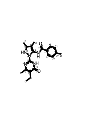 CCc1c(C)nc(N2NC(C)C(C)=C2NC(=O)c2ccc(C)cc2)[nH]c1=O